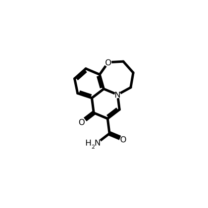 NC(=O)c1cn2c3c(cccc3c1=O)OCCC2